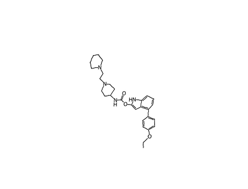 CCOc1ccc(-c2cccc3[nH]c(OC(=O)NC4CCN(CCN5CCCCC5)CC4)cc23)cc1